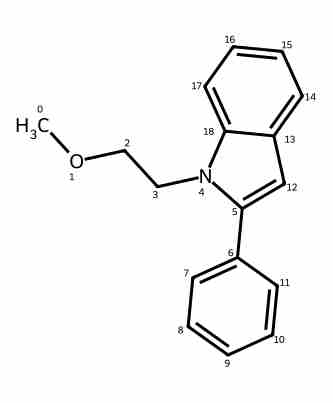 COCCn1c(-c2ccccc2)cc2ccccc21